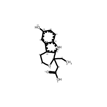 CCC1(CC(=O)O)OCCc2c1[nH]c1ccc(O)cc21